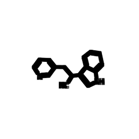 N#CC(Cc1cccnc1)c1c[nH]c2ccccc12